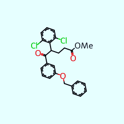 COC(=O)CCC(C(=O)c1cccc(OCc2ccccc2)c1)c1c(Cl)cccc1Cl